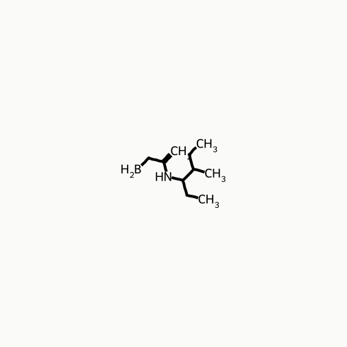 BCC(=C)NC(CC)C(C)CC